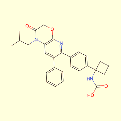 CC(C)CN1C(=O)COc2nc(-c3ccc(C4(NC(=O)O)CCC4)cc3)c(-c3ccccc3)cc21